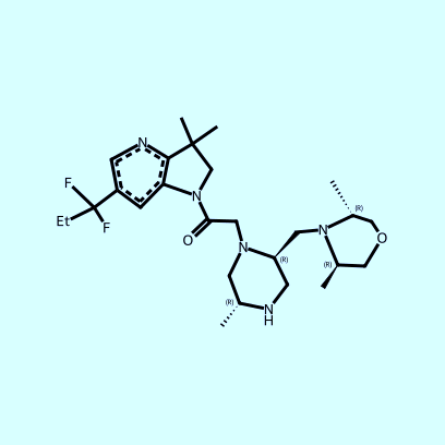 CCC(F)(F)c1cnc2c(c1)N(C(=O)CN1C[C@@H](C)NC[C@@H]1CN1[C@H](C)COC[C@H]1C)CC2(C)C